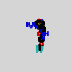 CC1(C)C(N)=N[C@](C)(c2nc(NC(=O)c3ccc(OCC(F)(F)C(F)F)cn3)ccc2F)[C@@H]2CCCN=[S@@]21=O